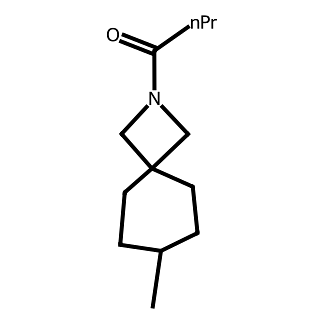 CCCC(=O)N1CC2(CCC(C)CC2)C1